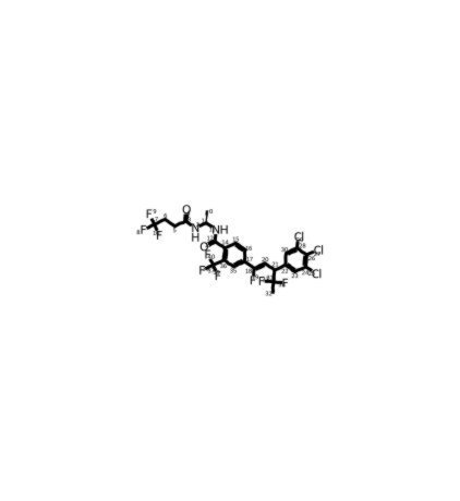 C[C@H](NC(=O)CCC(F)(F)F)NC(=O)c1ccc(/C(F)=C/C(c2cc(Cl)c(Cl)c(Cl)c2)C(C)(F)F)cc1C(F)(F)F